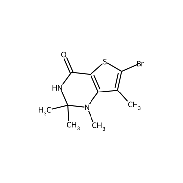 Cc1c(Br)sc2c1N(C)C(C)(C)NC2=O